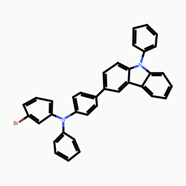 Brc1cccc(N(c2ccccc2)c2ccc(-c3ccc4c(c3)c3ccccc3n4-c3ccccc3)cc2)c1